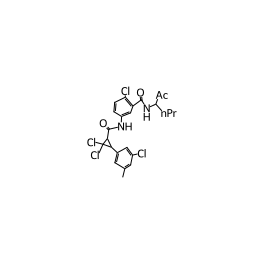 CCCC(NC(=O)c1cc(NC(=O)C2C(c3cc(C)cc(Cl)c3)C2(Cl)Cl)ccc1Cl)C(C)=O